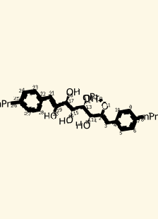 CCCOC(=Cc1ccc(CCC)cc1)[C@H](O)[C@@H](O)[C@H](O)[C@H](O)C(O)=Cc1ccc(CCC)cc1